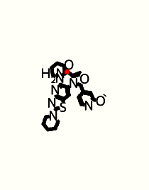 COc1cc(C2OC=C(C(N)=O)N2c2cc3sc(N4CCCCC4)nc3nc2N2CCCCC2)ccn1